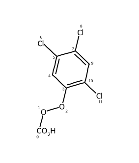 O=C(O)OOc1cc(Cl)c(Cl)cc1Cl